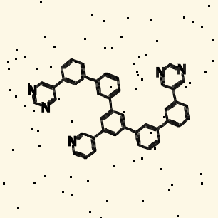 c1cncc(-c2cc(-c3cccc(-c4cccc(-c5cncnc5)c4)c3)cc(-c3cccc(-c4cccc(-c5cncnc5)c4)c3)c2)c1